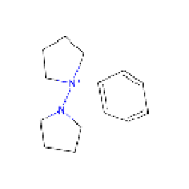 c1ccc([N+]2(N3CCCC3)CCCC2)cc1